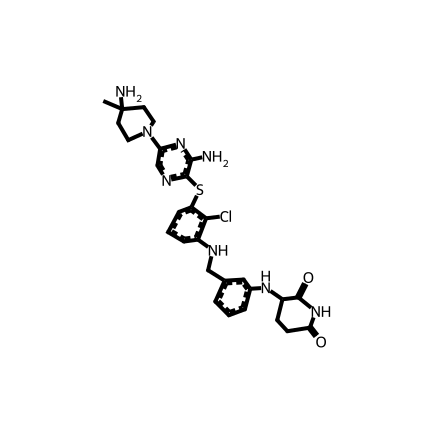 CC1(N)CCN(c2cnc(Sc3cccc(NCc4cccc(NC5CCC(=O)NC5=O)c4)c3Cl)c(N)n2)CC1